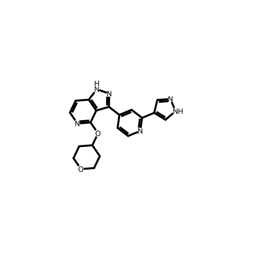 c1cc(-c2n[nH]c3ccnc(OC4CCOCC4)c23)cc(-c2cn[nH]c2)n1